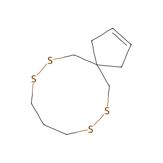 C1=CCC2(C1)CSSCCCSSC2